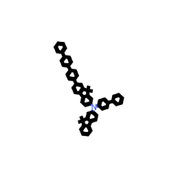 CC1(C)c2ccccc2-c2ccc(N(c3ccc(-c4ccccc4)cc3)c3ccc4c(c3)C(C)(C)c3cc(-c5ccc(-c6ccc(-c7ccccc7)cc6)cc5)ccc3-4)cc21